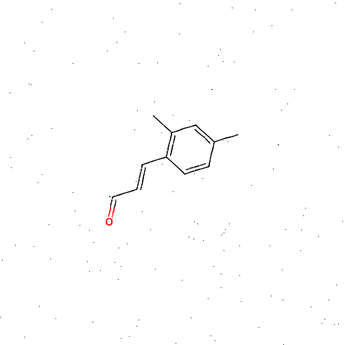 Cc1ccc(/C=C/[C]=O)c(C)c1